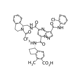 Cc1c(C(=O)O)ccc2c1CC[C@@H]2NC(=O)c1cc(C(=O)NCC2c3ccccc3CCN2C(=O)C(F)(F)F)nc2c(C(=O)Nc3ccccc3Cl)cnn12